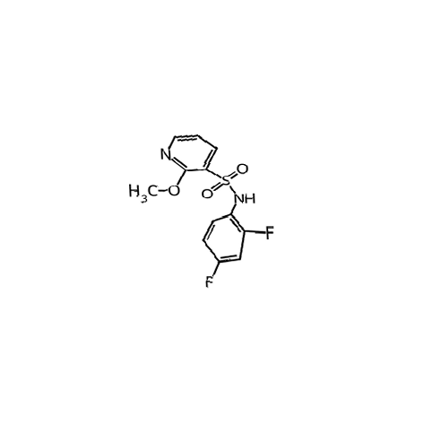 COc1ncccc1S(=O)(=O)Nc1ccc(F)cc1F